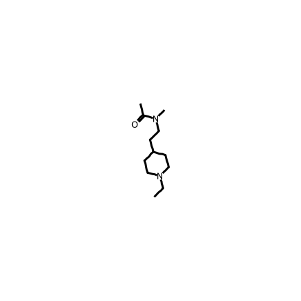 CCN1CCC(CCN(C)C(C)=O)CC1